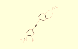 CCCC1CCc2cc(C#Cc3ccc(N)c(F)c3)ccc2C1